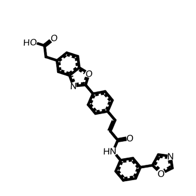 O=C(O)Cc1ccc2oc(-c3ccc(C=CC(=O)Nc4cccc(-c5cnco5)c4)cc3)nc2c1